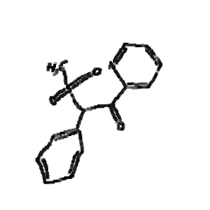 CS(=O)(=O)C(C(=O)c1ccccn1)c1ccccc1